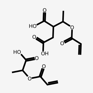 C=CC(=O)OC(C)C(=O)O.C=CC(=O)OC(C)C(CC(=O)O)C(=O)O